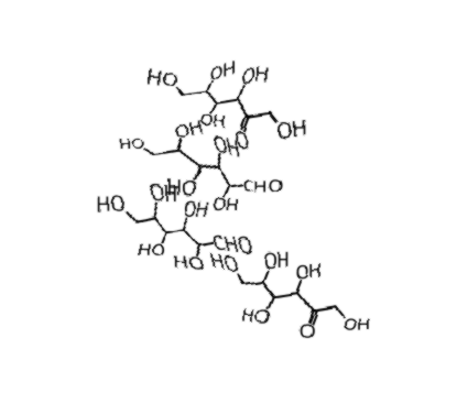 O=C(CO)C(O)C(O)C(O)CO.O=C(CO)C(O)C(O)C(O)CO.O=CC(O)C(O)C(O)C(O)CO.O=CC(O)C(O)C(O)C(O)CO